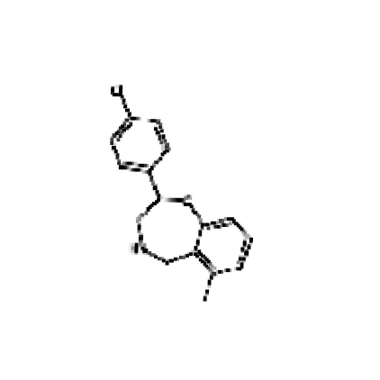 Cc1cccc2c1CNCC(c1ccc(Cl)cc1)O2